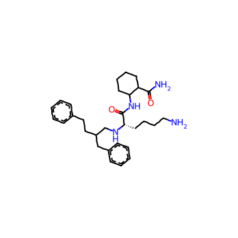 NCCCC[C@H](NCC(CCc1ccccc1)Cc1ccccc1)C(=O)NC1CCCCC1C(N)=O